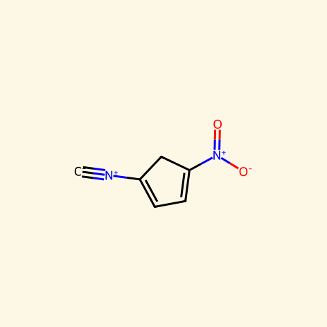 [C-]#[N+]C1=CC=C([N+](=O)[O-])C1